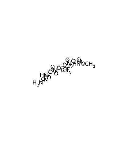 Cc1ccc(NC(=O)c2ccc3c(c2)C(=O)N(c2ccc(-c4ccc(N5C(=O)c6ccc(C(=O)Nc7ccc(N)cn7)cc6C5=O)cc4C)c(C(F)(F)F)c2)C3=O)nc1